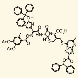 CC(=O)Oc1cc(C)c(C(=O)ON=C(C(=O)N[C@@H]2C(=O)N3C(C(=O)O)=C(CSc4cc(C)nc5nc(C(=O)OC(c6ccccc6)c6ccccc6)nn45)CS[C@H]23)c2csc(NC(c3ccccc3)(c3ccccc3)c3ccccc3)n2)cc1OC(C)=O